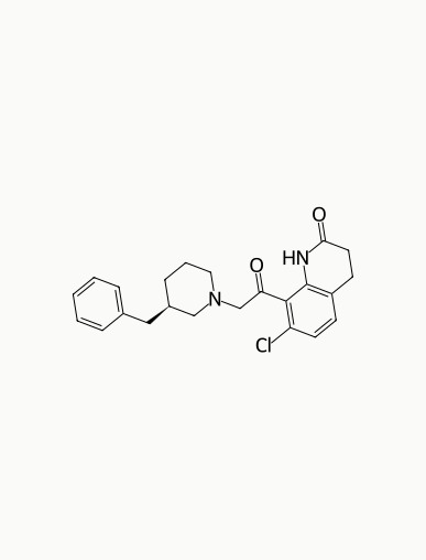 O=C1CCc2ccc(Cl)c(C(=O)CN3CCC[C@H](Cc4ccccc4)C3)c2N1